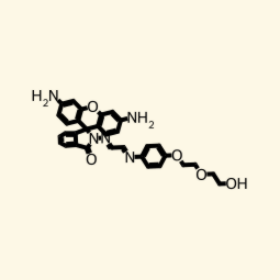 Nc1ccc2c(c1)Oc1cc(N)ccc1C21c2ccccc2C(=O)N1/N=C/C=N/c1ccc(OCCOCCO)cc1